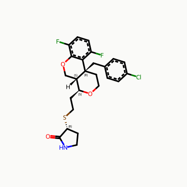 O=C1NCC[C@H]1SCC[C@@H]1OCC[C@@]2(Cc3ccc(Cl)cc3)c3c(F)ccc(F)c3OC[C@@H]12